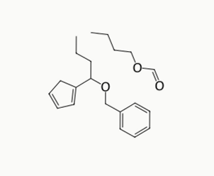 CCCC(OCc1ccccc1)C1=CC=CC1.CCCCOC=O